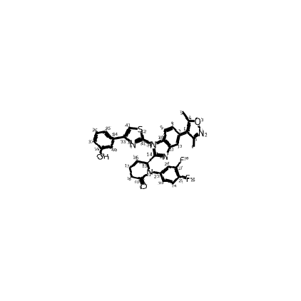 Cc1noc(C)c1-c1ccc2c(c1)nc([C@@H]1CCCC(=O)N1c1ccc(F)c(F)c1)n2-c1nc(-c2cccc(O)c2)cs1